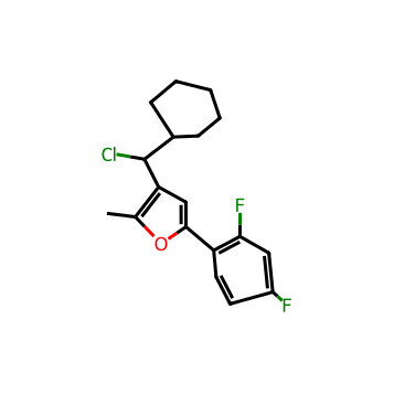 Cc1oc(-c2ccc(F)cc2F)cc1C(Cl)C1CCCCC1